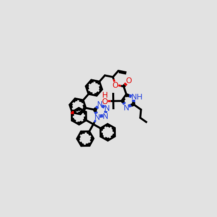 C=CC(Cc1ccc(-c2ccccc2-c2nnnn2C(c2ccccc2)(c2ccccc2)c2ccccc2)cc1)OC(=O)c1[nH]c(CCC)nc1C(C)(C)O